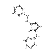 c1ccc(COc2nnc(Cc3ccccc3)o2)cc1